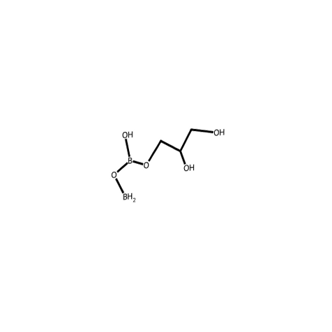 BOB(O)OCC(O)CO